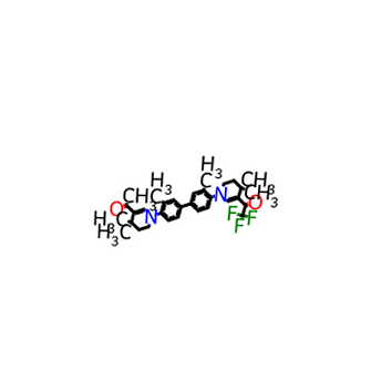 CC(=O)C1=CN(c2ccc(-c3ccc(N4C=C(C(=O)C(F)(F)F)C(C)(C)CC4)c(C)c3)cc2C)CCC1(C)C